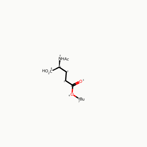 CC(=O)N[C@@H](CCC(=O)OC(C)(C)C)C(=O)O